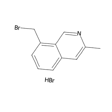 Br.Cc1cc2cccc(CBr)c2cn1